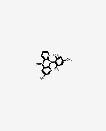 Cc1cc(C)c(N2c3ncccc3[S+]([O-])c3cc(C)cnc32)c(C)c1